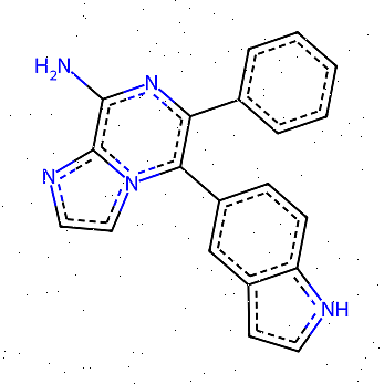 Nc1nc(-c2ccccc2)c(-c2ccc3[nH]ccc3c2)n2ccnc12